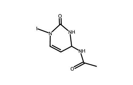 CC(=O)NC1C=CN(I)C(=O)N1